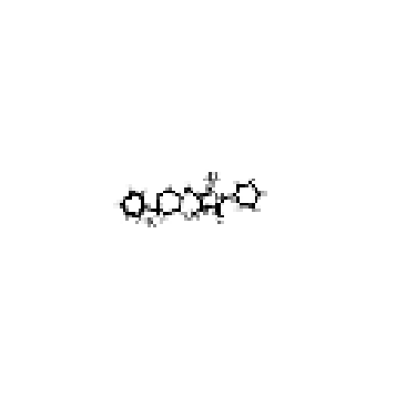 CCn1c(CN2CCC(C#N)(c3ccccc3)CC2)c(Cl)c(=O)n1C1CCCCC1